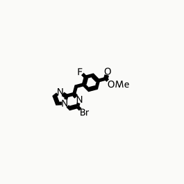 COC(=O)c1ccc(Cc2nc(Br)cn3ccnc23)c(F)c1